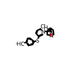 [CH]c1ccc(SC2=CN([C@H]3CN4CCC3CC4)C(Cl)C=C2)cc1